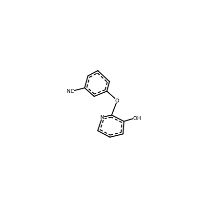 N#Cc1cccc(Oc2ncccc2O)c1